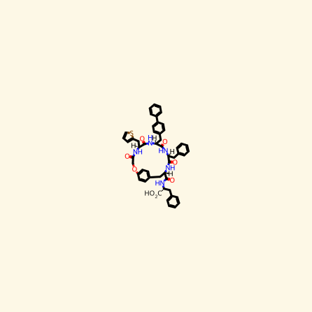 O=C1COc2ccc(cc2)C[C@@H](C(=O)N[C@H](Cc2ccccc2)C(=O)O)NC(=O)[C@H](Cc2ccccc2)NC(=O)[C@H](Cc2ccc(-c3ccccc3)cc2)NC(=O)[C@H](Cc2cccs2)N1